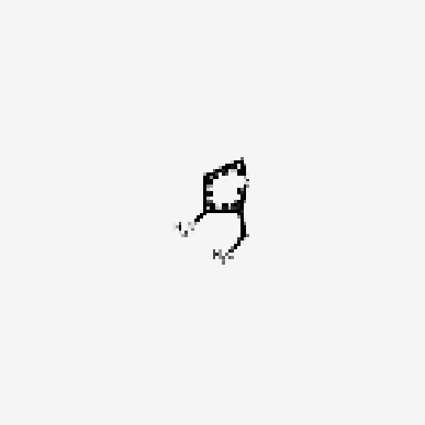 C[CH]c1sccc1N